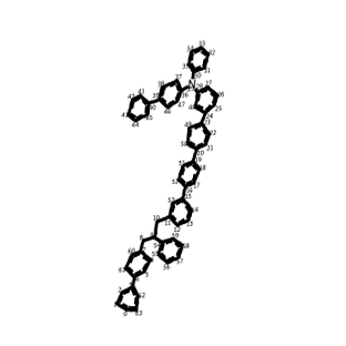 c1ccc(-c2ccc(CC(Cc3cccc(-c4ccc(-c5ccc(-c6cccc(N(c7ccccc7)c7ccc(-c8ccccc8)cc7)c6)cc5)cc4)c3)c3ccccc3)cc2)cc1